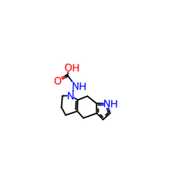 O=C(O)NN1CCCC2=C1Cc1[nH]ccc1C2